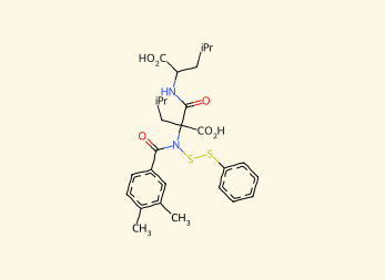 Cc1ccc(C(=O)N(SSc2ccccc2)C(CC(C)C)(C(=O)O)C(=O)NC(CC(C)C)C(=O)O)cc1C